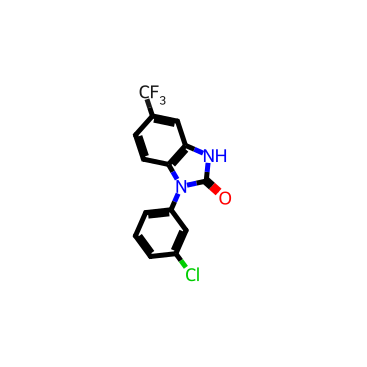 O=c1[nH]c2cc(C(F)(F)F)ccc2n1-c1cccc(Cl)c1